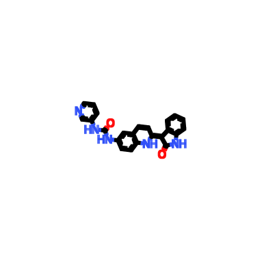 O=C(Nc1cccnc1)Nc1ccc2c(c1)C=CC(=C1C(=O)Nc3ccccc31)N2